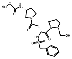 CC(C)(C)OC(=O)N[C@@H]1CCN(C(=O)C[C@@H](NS(=O)(=O)Cc2ccccc2)C(=O)N2CCC[C@H]2CO)C1